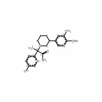 COc1ncc(C2CCCN(C(C)(C(N)=O)c3ccc(Cl)cn3)C2)cc1C